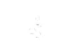 Cc1ccc2cccc(C(=O)CCl)c2c1